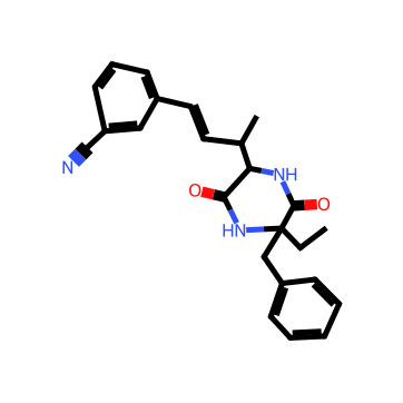 CCC1(Cc2ccccc2)NC(=O)C(C(C)C=Cc2cccc(C#N)c2)NC1=O